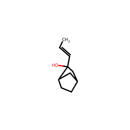 CC=CC1(O)CC2CCC1C2